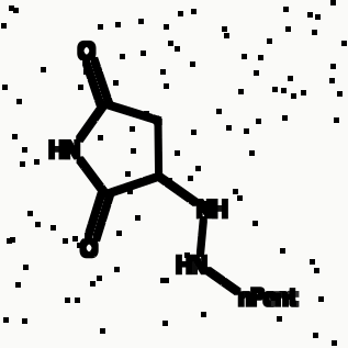 CCCCCNNC1CC(=O)NC1=O